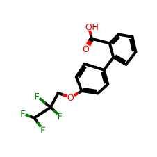 O=C(O)c1ccccc1-c1ccc(OCC(F)(F)C(F)F)cc1